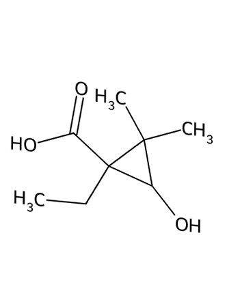 CCC1(C(=O)O)C(O)C1(C)C